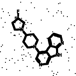 F[C@@H]1CCN(C2CCN(c3cncc4[nH]c5ncccc5c34)CC2)C1